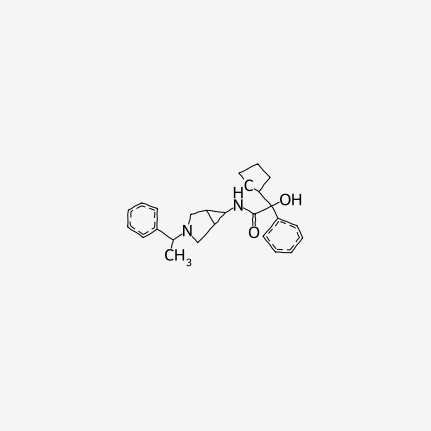 CC(c1ccccc1)N1CC2C(C1)C2NC(=O)C(O)(c1ccccc1)C1CCCC1